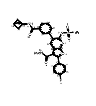 CCCS(=O)(=O)Nc1nc2oc(-c3ccc(F)cc3)c(C(=O)NC)c2cc1-c1cccc(C(=O)NC23CC(C2)C3)c1